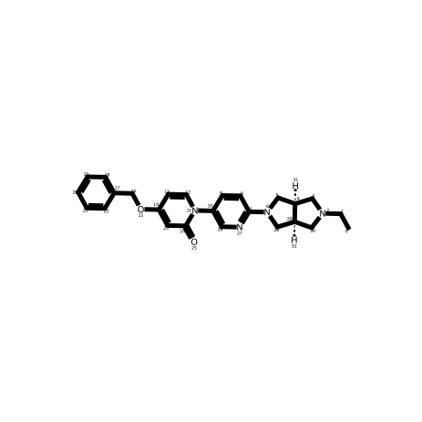 CCN1C[C@@H]2CN(c3ccc(-n4ccc(OCc5ccccc5)cc4=O)cn3)C[C@@H]2C1